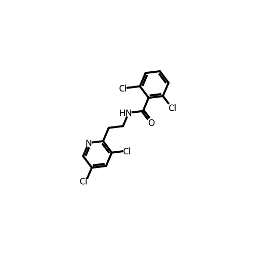 O=C(NCCc1ncc(Cl)cc1Cl)c1c(Cl)cccc1Cl